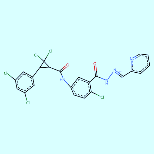 O=C(N/N=C/c1ccccn1)c1cc(NC(=O)C2C(c3cc(Cl)cc(Cl)c3)C2(Cl)Cl)ccc1Cl